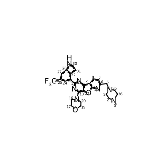 CN1CCN(Cc2ccc3c(n2)oc2c(N4CCOCC4)nc(-c4cc(C(F)(F)F)cc5[nH]ccc45)nc23)CC1